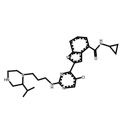 CC(C)C1CNCCN1CCCNc1ncc(Cl)c(-c2cc3c(C(=O)NC4CC4)cccc3s2)n1